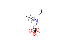 CCCCN(CC[Si](OC)(OC)OC)[Si](C)(C)C(C)(C)C